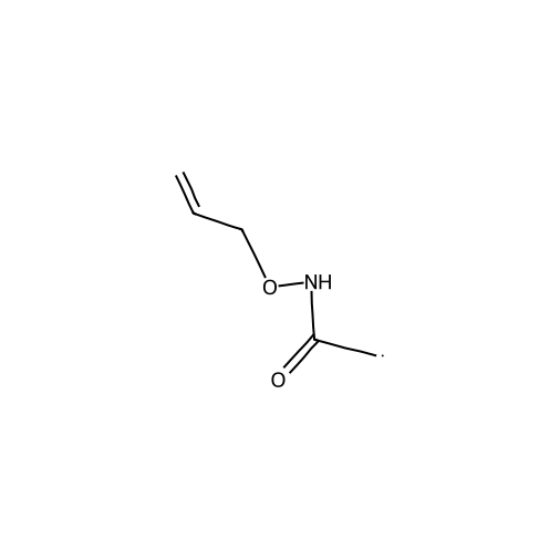 [CH2]C(=O)NOCC=C